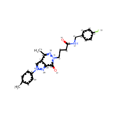 Cc1ccc(-n2cc3c(C)nn(CCCC(=O)NCc4ccc(F)cc4)c(=O)c3n2)cc1